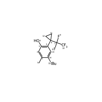 Cc1cc(O)c(C2(C(F)(F)C(F)(F)F)CC2)cc1C(C)(C)C